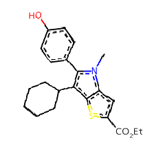 CCOC(=O)c1cc2c(s1)c(C1CCCCC1)c(-c1ccc(O)cc1)n2C